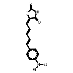 CCN(CC)c1ccc(C=CC=CC=C2OC(=S)NC2=O)cc1